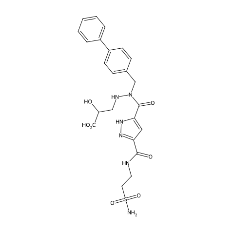 NS(=O)(=O)CCNC(=O)c1cc(C(=O)N(Cc2ccc(-c3ccccc3)cc2)NCC(O)C(=O)O)[nH]n1